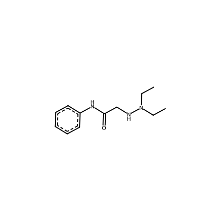 CCN(CC)NCC(=O)Nc1ccccc1